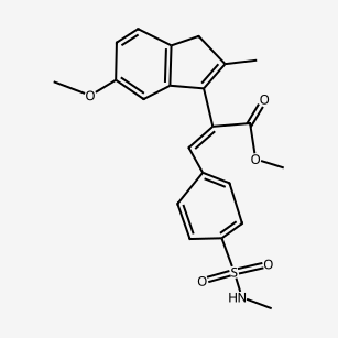 CNS(=O)(=O)c1ccc(C=C(C(=O)OC)C2=C(C)Cc3ccc(OC)cc32)cc1